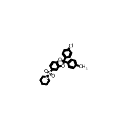 Cc1ccc(C2(c3ccc(Cl)cc3)Oc3ccc(S(=O)(=O)N4CCCCC4)cc3O2)cc1